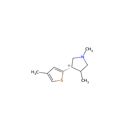 Cc1csc([C@@H]2CN(C)CC2C)c1